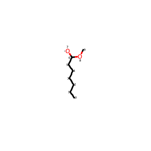 CCCCCCC([O])OC